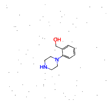 OCc1c[c]ccc1N1CCNCC1